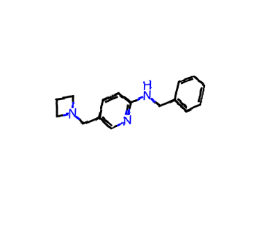 c1ccc(CNc2ccc(CN3CCC3)cn2)cc1